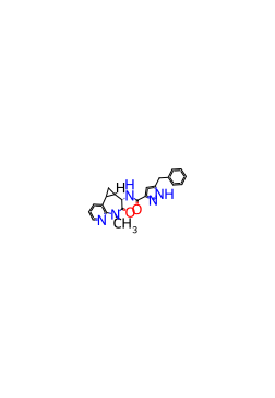 CN1C(=O)[C@@H](NC(=O)c2cc(Cc3ccccc3)[nH]n2)[C@H]2CC2c2cccnc21